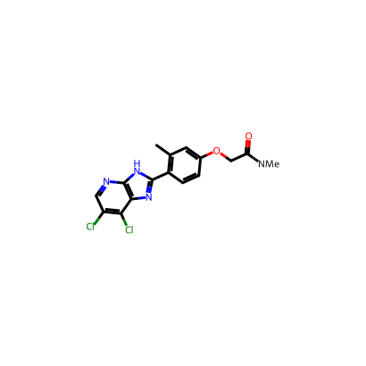 CNC(=O)COc1ccc(-c2nc3c(Cl)c(Cl)cnc3[nH]2)c(C)c1